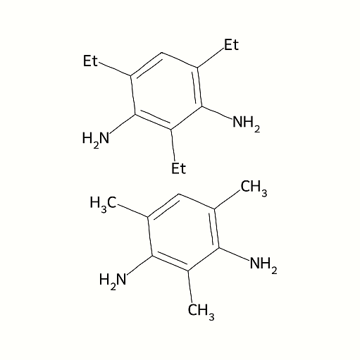 CCc1cc(CC)c(N)c(CC)c1N.Cc1cc(C)c(N)c(C)c1N